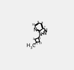 CC1CC(n2nnc3cccnc32)C1